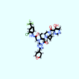 CCc1c(N2CCN(C(=O)c3ncnc(C)c3O)[C@@H]3CC[C@H]32)c(=O)n2nc(C3=CCOCC3)nc2n1CC(=O)Nc1ccc(C(F)(F)F)cc1Cl